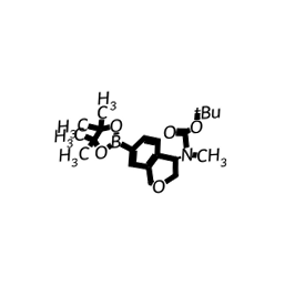 CN(C(=O)OC(C)(C)C)[C@@H]1COCc2cc(B3OC(C)(C)C(C)(C)O3)ccc21